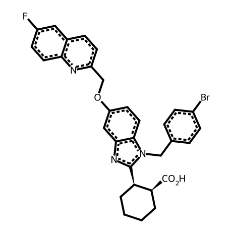 O=C(O)[C@H]1CCCC[C@H]1c1nc2cc(OCc3ccc4cc(F)ccc4n3)ccc2n1Cc1ccc(Br)cc1